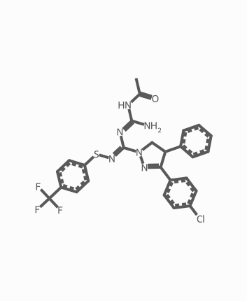 CC(=O)N/C(N)=N/C(=N\Sc1ccc(C(F)(F)F)cc1)N1CC(c2ccccc2)C(c2ccc(Cl)cc2)=N1